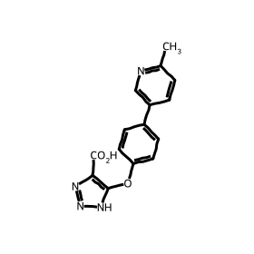 Cc1ccc(-c2ccc(Oc3[nH]nnc3C(=O)O)cc2)cn1